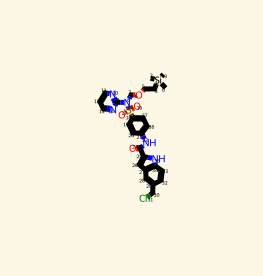 C[Si](C)(C)CCOCN(c1ncccn1)S(=O)(=O)c1ccc(NC(=O)c2cc3cc(CCl)ccc3[nH]2)cc1